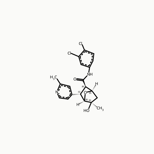 Cc1cc([C@@H]2[C@@H](C(=O)Nc3ccc(Cl)c(Cl)c3)[C@H]3C[C@@](C)(O)[C@@H]2O3)ccn1